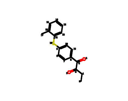 CCC(=O)C(=O)c1ccc(Sc2ccccc2C)cc1